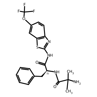 CC(C)(N)C(=O)N[C@@H](Cc1ccccc1)C(=O)Nc1nc2ccc(OC(F)(F)F)cc2s1